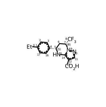 CCc1ccc([C@@H]2C[C@H](C(F)(F)F)n3ncc(C(=O)O)c3N2)cc1